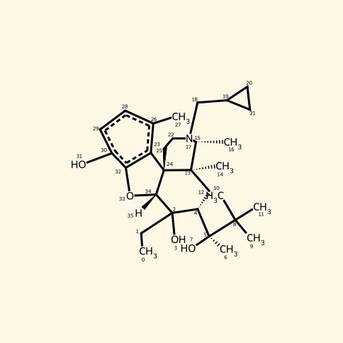 CCC1(O)[C@@H]([C@](C)(O)C(C)(C)C)C[C@]2(C)[C@@H](C)N(CC3CC3)CC[C@@]23c2c(C)ccc(O)c2O[C@@H]13